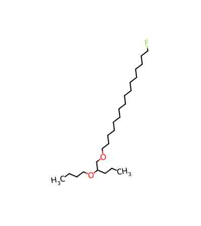 CCCCOC(CCC)COCCCCCCCCCCCCCCCCF